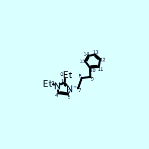 CCc1n(CC)cc[n+]1CCCc1ccccc1